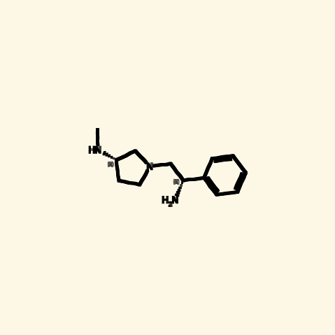 CN[C@H]1CCN(C[C@@H](N)c2ccccc2)C1